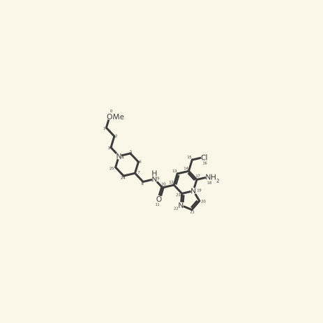 COCCCN1CCC(CNC(=O)c2cc(CCl)c(N)n3ccnc23)CC1